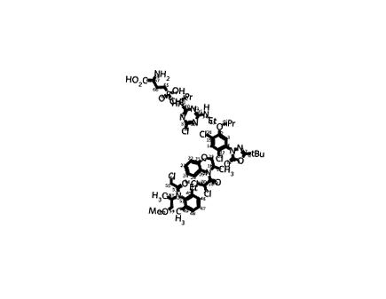 CC(C)Oc1cc(-n2nc(C(C)(C)C)oc2=O)c(Cl)cc1Cl.CC1COc2ccccc2N1C(=O)C(Cl)Cl.CCNc1nc(Cl)nc(NC(C)C)n1.CCc1cccc(C)c1N(C(=O)CCl)C(C)COC.CP(=O)(O)CCC(N)C(=O)O